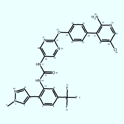 Cn1cc(-c2ccc(C(F)(F)F)cc2NC(=O)Nc2cnc(Oc3ccc(-c4cc(Cl)cnc4N)cc3)nc2)cn1